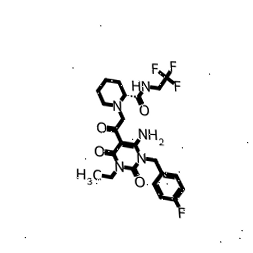 CCn1c(=O)c(C(=O)CN2CCCC[C@@H]2C(=O)NCC(F)(F)F)c(N)n(Cc2ccc(F)cc2)c1=O